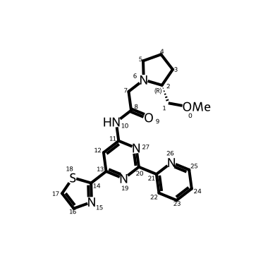 COC[C@H]1CCCN1CC(=O)Nc1cc(-c2nccs2)nc(-c2ccccn2)n1